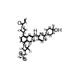 C=CC(=O)N1CC(c2ccc(N3C[C@H](CS(C)(=O)=O)C3(C)C)c3cnc(Nc4ccnc(N5CCC(C)(O)CC5)n4)cc23)C1